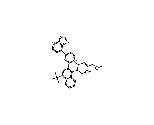 COC/C=C/C1C(CO)c2c(cc(C(C)(C)C)c3ccccc23)-c2cc(-c3ccnc4ccoc34)cc[n+]21